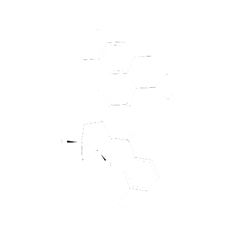 CCS(=O)(=O)c1cccc(C(=O)N2[C@@H](C(=O)NC(c3cc(F)c(Cl)cc3F)C3COC3)C[C@H]3C[C@H]32)c1